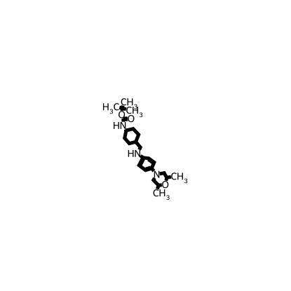 CC1CN(c2ccc(NCC3CCC(NC(=O)OC(C)(C)C)CC3)cc2)CC(C)O1